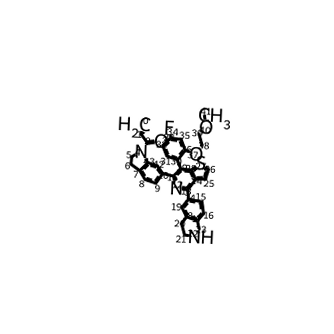 C=CC(=O)N1CCc2ccc(-c3nc(-c4ccc5c(c4)CCNC5)c4ccsc4c3-c3ccc(F)cc3OCCOC)cc21